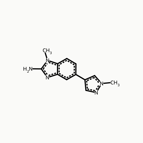 Cn1cc(-c2ccc3c(c2)nc(N)n3C)cn1